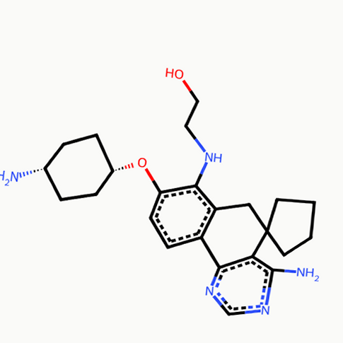 Nc1ncnc2c1C1(CCCC1)Cc1c-2ccc(O[C@H]2CC[C@@H](N)CC2)c1NCCO